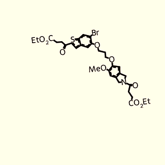 CCOC(=O)CCC(=O)c1cc2cc(OCCCOc3cc4c(cc3OC)CN(C(=O)CCC(=O)OCC)C4)c(Br)cc2s1